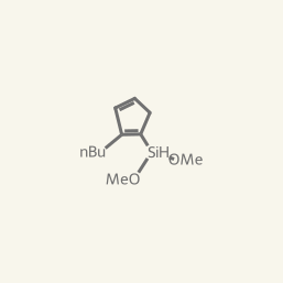 CCCCC1=C([SiH](OC)OC)CC=C1